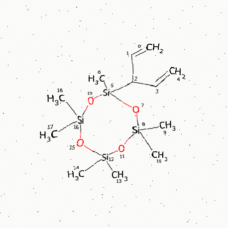 C=CC(C=C)[Si]1(C)O[Si](C)(C)O[Si](C)(C)O[Si](C)(C)O1